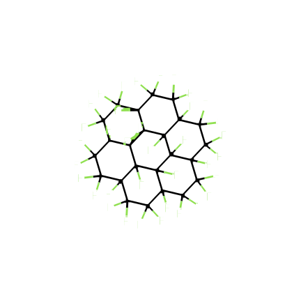 FC1(F)C(F)(F)C2(F)C(F)(F)C(F)(F)C3(F)C(F)(F)C(F)(F)C4(F)C(F)(F)C(F)(F)C5(F)C(F)(F)C(F)(F)C6(F)C(F)(F)C(F)(F)C1(F)C1(F)C2(F)C3(F)C4(F)C5(F)C61F